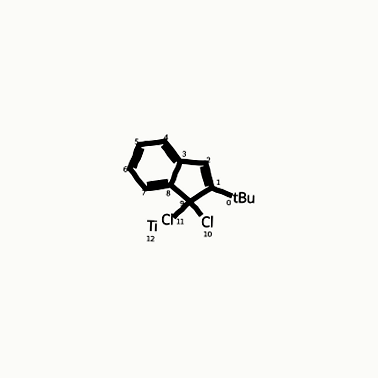 CC(C)(C)C1=Cc2ccccc2C1(Cl)Cl.[Ti]